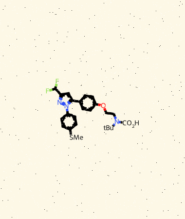 CSc1ccc(-n2nc(C(F)F)cc2-c2ccc(OCCN(C(=O)O)C(C)(C)C)cc2)cc1